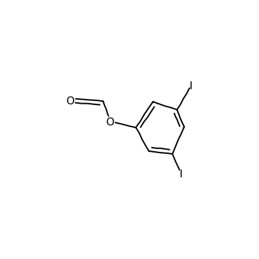 O=COc1cc(I)cc(I)c1